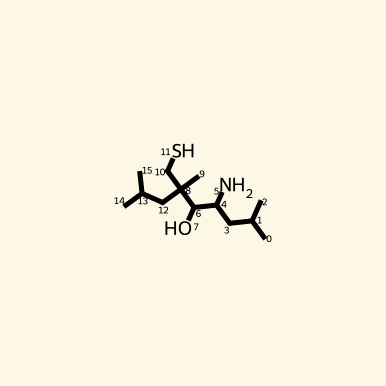 CC(C)CC(N)C(O)C(C)(CS)CC(C)C